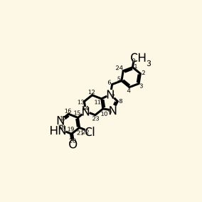 Cc1cccc(Cn2cnc3c2CCN(c2cn[nH]c(=O)c2Cl)C3)c1